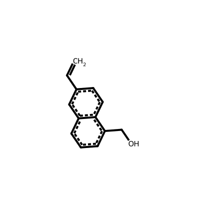 C=Cc1ccc2c(CO)cccc2c1